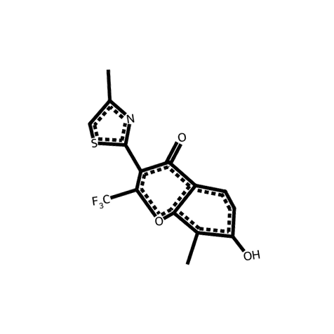 Cc1csc(-c2c(C(F)(F)F)oc3c(C)c(O)ccc3c2=O)n1